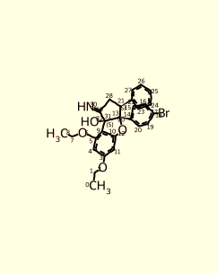 CCOc1cc(OCC)c2c(c1)O[C@@]1(c3ccc(Br)cc3)[C@H](c3ccccc3)CC(=N)[C@@]21O